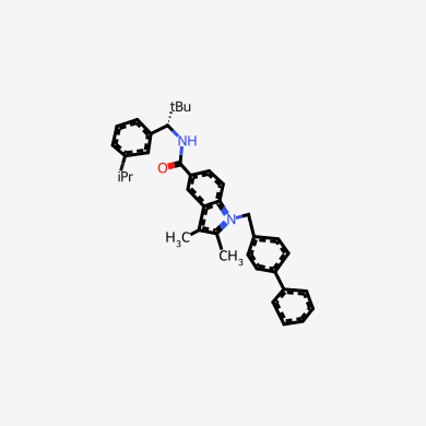 Cc1c(C)n(Cc2ccc(-c3ccccc3)cc2)c2ccc(C(=O)N[C@H](c3cccc(C(C)C)c3)C(C)(C)C)cc12